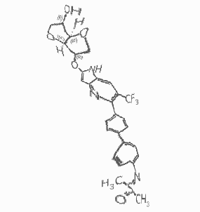 CS(C)(=O)=Nc1ccc(-c2ccc(-c3nc4cc(O[C@@H]5CO[C@H]6[C@@H]5OC[C@H]6O)[nH]c4cc3C(F)(F)F)cc2)cc1